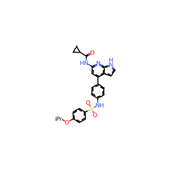 CC(C)Oc1ccc(S(=O)(=O)Nc2ccc(-c3cc(NC(=O)C4CC4)nc4[nH]ccc34)cc2)cc1